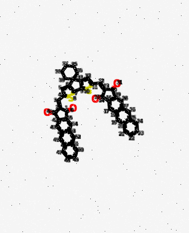 O=C1C(=Cc2cc3c(s2)-c2sc(C=C4C(=O)c5cc6cc7ccccc7cc6cc5C4=O)cc2C32CCCCC2)C(=O)c2cc3cc4ccccc4cc3cc21